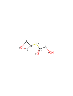 O=C(CO)SC1COC1